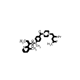 C/C=C(\c1ncccc1C)S(=O)(=O)N(C)c1ccc(C(=O)N2CCN(CC(CCC)CC(C)F)CC2)cc1